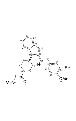 CNCC(=O)N1CCc2c(nc(Cc3ccc(OC)c(F)c3)c3[nH]c4ccccc4c23)C1